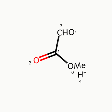 COC(=O)[C]=O.[H+]